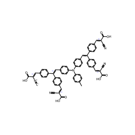 [C-]#[N+]/C(=C\c1ccc(/C(=C/c2ccc(N(c3ccc(C)cc3)c3ccc(C=C(c4ccc(/C=C(\C#N)C(=O)O)cc4)c4ccc(/C=C(\C#N)C(=O)O)cc4)cc3)cc2)c2ccc(/C=C(\C#N)C(=O)O)cc2)cc1)C(=O)O